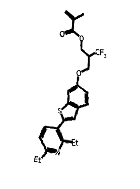 C=C(C)C(=O)OCC(COc1ccc2cc(-c3ccc(CC)nc3CC)sc2c1)C(F)(F)F